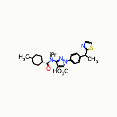 CC(c1ccc(-n2cc(C(=O)O)c(N(C(=O)[C@H]3CC[C@H](C)CC3)C(C)C)n2)cc1)c1nccs1